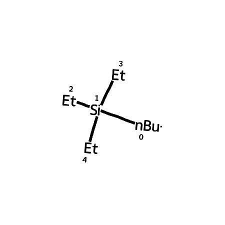 CCC[CH][Si](CC)(CC)CC